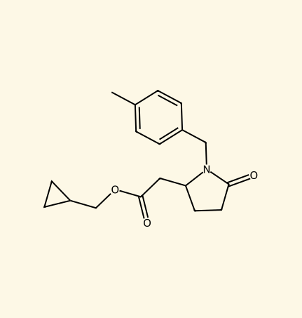 Cc1ccc(CN2C(=O)CCC2CC(=O)OCC2CC2)cc1